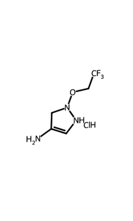 Cl.NC1=CNN(OCC(F)(F)F)C1